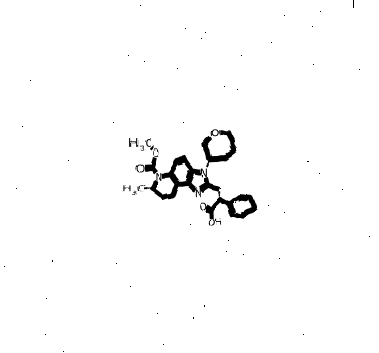 COC(=O)N1c2ccc3c(nc(C[C@@H](C(=O)O)c4ccccc4)n3[C@H]3CCCOC3)c2CC[C@@H]1C